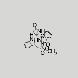 COC(=O)[C@H](Cc1c[nH]c2ccccc12)N(NC(=O)[C@@H]1CCC(=O)N1)C(=O)c1ccccc1